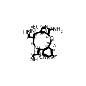 CCN/C1=C(\C=N)CN/C(=C(/C#N)C=N)c2ccc(F)cc2[C@@H](C)Oc2cc1cnc2N